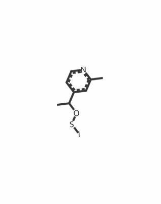 Cc1cc(C(C)OSI)ccn1